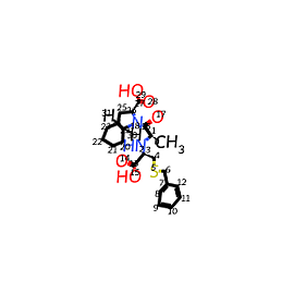 C[C@H](N[C@@H](CSCc1ccccc1)C(=O)O)C(=O)N1[C@@H]2CCCC[C@@H]2C[C@H]1C(=O)O